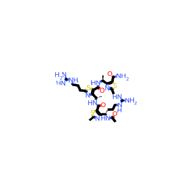 CC(=O)N[C@@H](CCCNC(=N)N)c1nc(C)sc1C(=O)N[C@@H](C)c1nc(CCCNC(=N)N)sc1C(=O)N[C@@H](C)c1nc(C)sc1C(N)=O